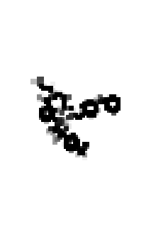 C[C@@H]1CN([C@@H](C)CO)C(=O)c2cccc(NC(=O)C(F)(F)c3ccc(C(F)(F)F)cc3)c2O[C@@H]1CN(C)Cc1ccc(Oc2ccccc2)cc1